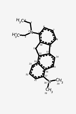 CCN(CC)c1cccc2c1Cc1c-2ccc2c(N(C)C)cccc12